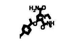 CCn1c(C(N)=O)cc(OC(C)c2ccc(I)cc2)c1C(=O)NC